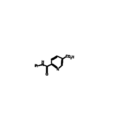 CC(C)NC(=O)c1ccc(C(=O)O)cn1